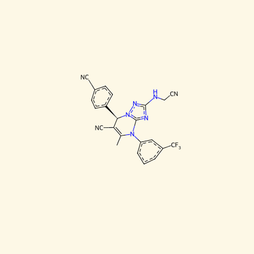 CC1=C(C#N)[C@@H](c2ccc(C#N)cc2)n2nc(NCC#N)nc2N1c1cccc(C(F)(F)F)c1